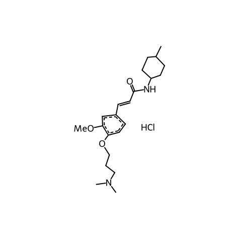 COc1cc(C=CC(=O)NC2CCC(C)CC2)ccc1OCCCN(C)C.Cl